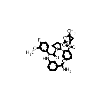 CCOC(=O)[C@H]1CCN(C(=O)[C@H](Nc2cccc(C(N)=O)c2)c2ccc(F)c(OC)c2)[C@H]1c1ccccc1S(=O)(=O)C1CC1